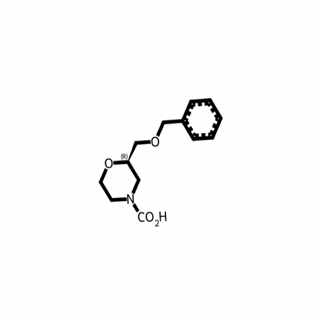 O=C(O)N1CCO[C@@H](COCc2ccccc2)C1